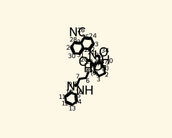 C[C@]12CC[C@](CCCc3nc4ccccc4[nH]3)(O1)[C@@H]1C(=O)N(c3ccc(C#N)c4ccccc34)C(=O)[C@@H]12